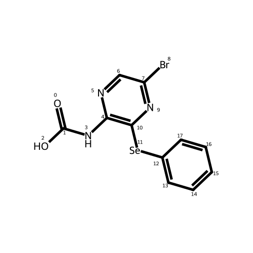 O=C(O)Nc1ncc(Br)nc1[Se]c1ccccc1